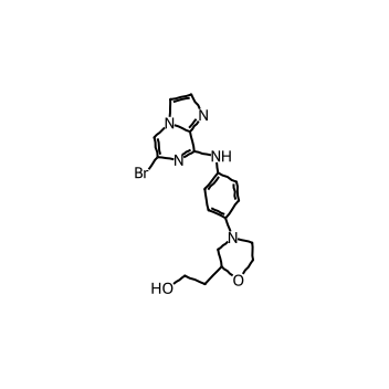 OCCC1CN(c2ccc(Nc3nc(Br)cn4ccnc34)cc2)CCO1